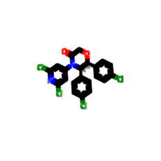 O=C1CO[C@@H](c2ccc(Cl)cc2)[C@@H](c2ccc(Cl)cc2)N1c1cc(Cl)nc(Cl)c1